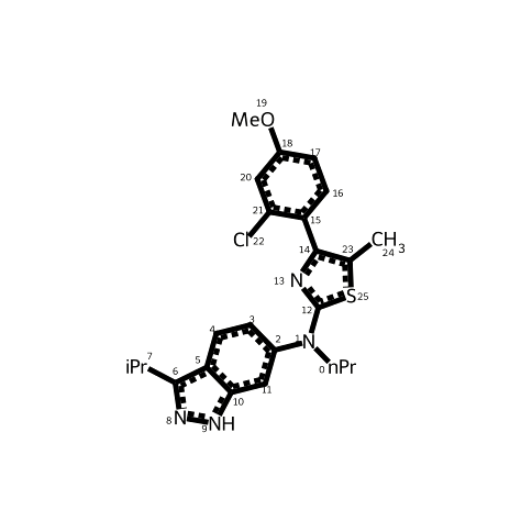 CCCN(c1ccc2c(C(C)C)n[nH]c2c1)c1nc(-c2ccc(OC)cc2Cl)c(C)s1